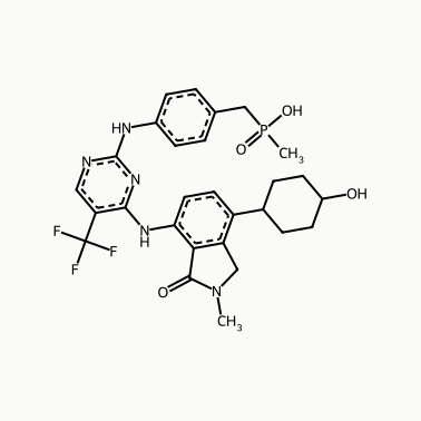 CN1Cc2c(C3CCC(O)CC3)ccc(Nc3nc(Nc4ccc(CP(C)(=O)O)cc4)ncc3C(F)(F)F)c2C1=O